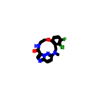 CN1Cc2c(ccc(F)c2Cl)OCCNC(=O)c2cnc3ccc1nn23